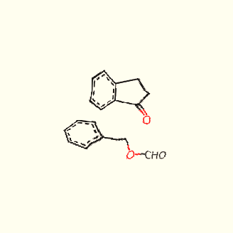 O=C1CCc2ccccc21.O=COCc1ccccc1